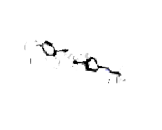 O=C(/C=C/c1ccc(C(=O)NN=Cc2ccc(O)c(O)c2O)cc1)NO